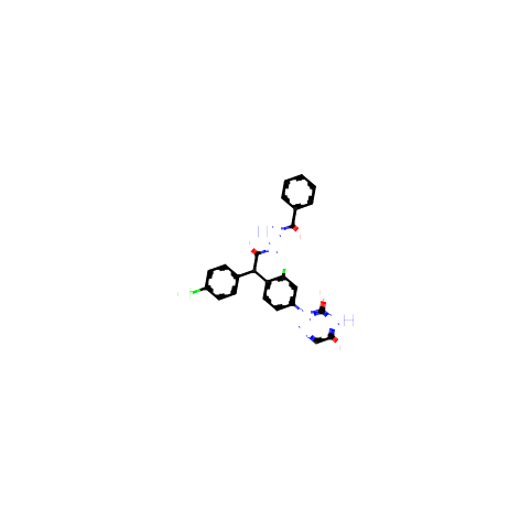 O=C(NNC(=O)C(c1ccc(Cl)cc1)c1ccc(-n2ncc(=O)[nH]c2=O)cc1Cl)c1ccccc1